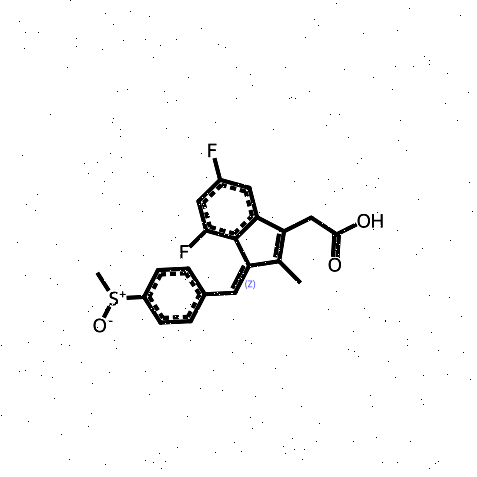 CC1=C(CC(=O)O)c2cc(F)cc(F)c2/C1=C\c1ccc([S+](C)[O-])cc1